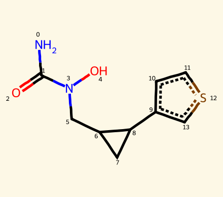 NC(=O)N(O)CC1CC1c1ccsc1